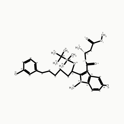 COC(=O)C[C@@H](C)CC(=O)c1c(C(CCCCCc2cccc(Cl)c2)O[Si](C)(C)C(C)(C)C)n(C)c2ccc(Cl)cc12